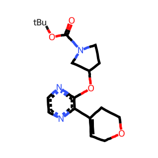 CC(C)(C)OC(=O)N1CCC(Oc2nccnc2C2=CCOCC2)C1